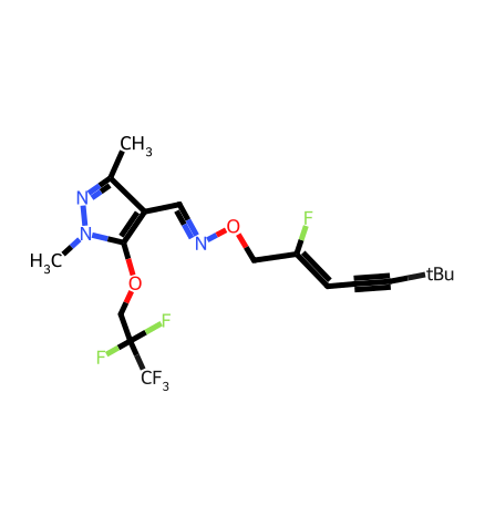 Cc1nn(C)c(OCC(F)(F)C(F)(F)F)c1C=NOCC(F)=CC#CC(C)(C)C